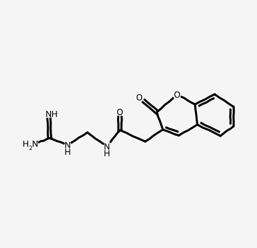 N=C(N)NCNC(=O)Cc1cc2ccccc2oc1=O